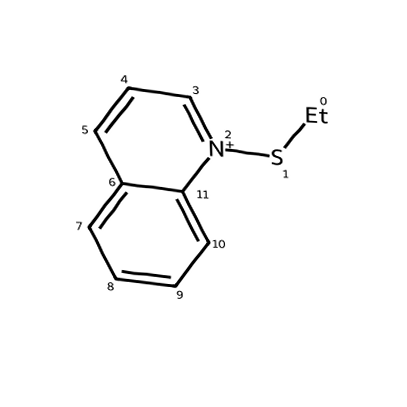 CCS[n+]1cccc2ccccc21